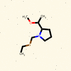 CCSCN1CCCC1C(C)OC